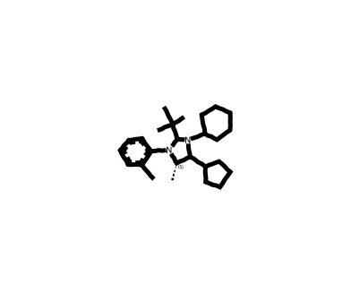 Cc1ccccc1N1C(C(C)(C)C)N(C2CCCCC2)C(C2CCCC2)[C@@H]1C